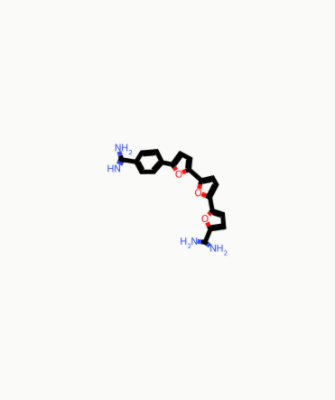 N=C(N)c1ccc(-c2ccc(-c3ccc(-c4ccc(C(N)N)o4)o3)o2)cc1